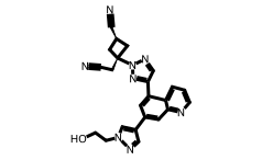 N#CC[C@]1(n2ncc(-c3cc(-c4cnn(CCO)c4)cc4ncccc34)n2)C[C@H](C#N)C1